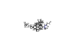 CCC/C(C)=C/C(=N\C)c1nc(Cl)c(-c2c(F)cc(OCCCN(C)C)cc2F)c(N[C@@H](C)C(F)(F)F)n1